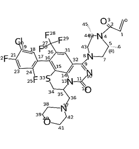 C=CC(=O)N1[C@H](C)CN(c2nc(=O)n3c4c(c(-c5cc(Cl)c(F)cc5F)c(C(F)(F)F)cc24)SCC3CN2CCOCC2)C[C@@H]1C